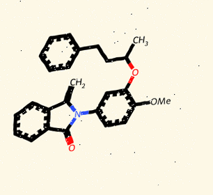 C=C1c2ccccc2C(=O)N1c1ccc(OC)c(OC(C)CCc2ccccc2)c1